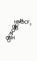 O=C1NC2(CCN(c3ccc(S(=O)(=O)N4CCC(Nc5ccc(C(F)(F)F)cn5)CC4)cc3)CC2)CO1